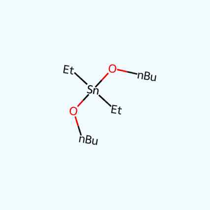 CCCC[O][Sn]([CH2]C)([CH2]C)[O]CCCC